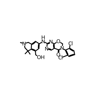 CN1Cc2cc(Nc3ncc4c(n3)OCN(c3c(Cl)cccc3Cl)C4=O)cc(CO)c2C(C)(C)C1